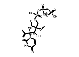 C=C(C)[C@@](O)([C@H](O)C(CF)(COP(=O)(O)OP(=O)(O)OP(=O)(O)O)OC)n1ccc(=O)[nH]c1=O